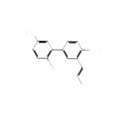 CC=Cc1cc(-c2cc(C(C)C)ccc2C(C)C)ccc1O